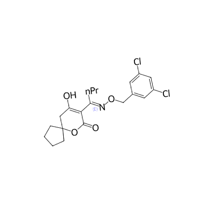 CCC/C(=N\OCc1cc(Cl)cc(Cl)c1)C1=C(O)CC2(CCCC2)OC1=O